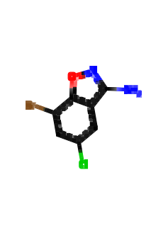 Nc1noc2c(Br)cc(Cl)cc12